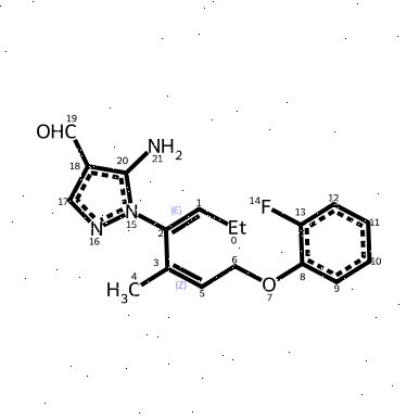 CC/C=C(\C(C)=C/COc1ccccc1F)n1ncc(C=O)c1N